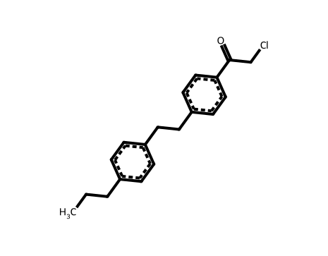 CCCc1ccc(CCc2ccc(C(=O)CCl)cc2)cc1